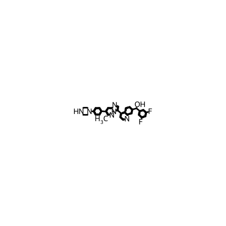 Cc1nn2c(-c3ccnc4cc(C(O)c5cc(F)cc(F)c5)ccc34)cnc2cc1-c1ccc(N2CCNCC2)cc1